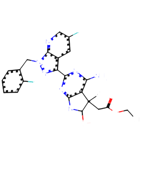 CCOC(=O)CC1(C)c2c(N)nc(-c3nn(Cc4ccccc4F)c4ncc(F)cc34)nc2NC1O